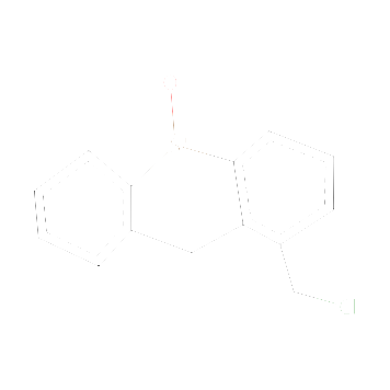 [O-][S+]1c2ccccc2Cc2c(CCl)cccc21